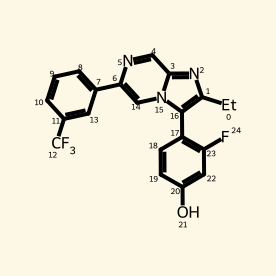 CCc1nc2cnc(-c3cccc(C(F)(F)F)c3)cn2c1-c1ccc(O)cc1F